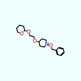 c1ccc(CON2CCC(OCCOC3CCCCO3)CC2)cc1